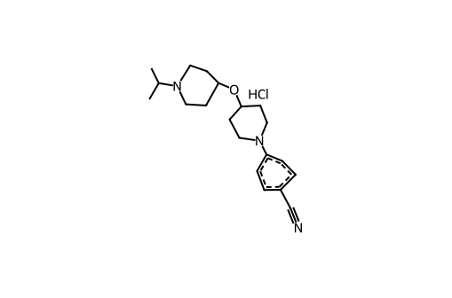 CC(C)N1CCC(OC2CCN(c3ccc(C#N)cc3)CC2)CC1.Cl